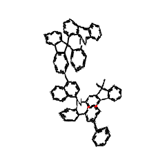 CC1(C)c2ccccc2-c2ccc(N(c3ccccc3-c3cccc(-c4ccccc4)c3)c3ccc(-c4ccc5c(c4)C4(c6ccccc6-5)c5ccccc5-n5c6ccccc6c6cccc4c65)c4ccccc34)cc21